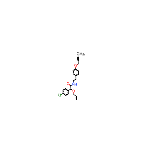 C=CCOC(C(=O)NCCc1ccc(OCC#COC)cc1)c1ccc(Cl)cc1